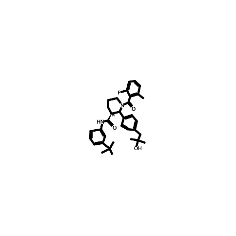 Cc1cccc(F)c1C(=O)N1CCC[C@H](C(=O)Nc2cccc(C(C)(C)C)c2)C1c1ccc(CC(C)(C)O)cc1